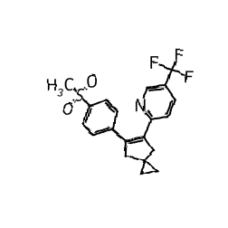 CS(=O)(=O)c1ccc(C2=C(c3ccc(C(F)(F)F)cn3)CC3(CC3)C2)cc1